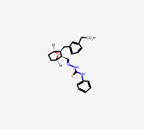 O=C(O)Cc1cccc(C[C@H]2[C@@H](C=NNC(=S)Nc3ccccc3)[C@H]3CC[C@@H]2O3)c1